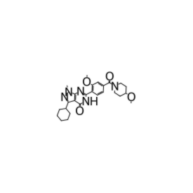 COc1cc(C(=O)N2CCC(OC)CC2)ccc1-c1nc2c(c(C3CCCCC3)nn2C)c(=O)[nH]1